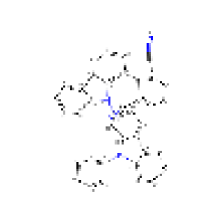 N#Cc1cccc(C#N)c1-c1cccc2c3ccccc3n(-c3ccc4c5ccccc5n(-c5ccccc5)c4c3)c12